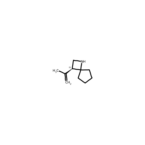 C=C(C)[C@H]1CNC12CCCC2